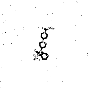 COC(=O)N1CCC(N2CCC(n3c4c(n(S(C)(=O)=O)c3=O)CCC=C4)CC2)CC1